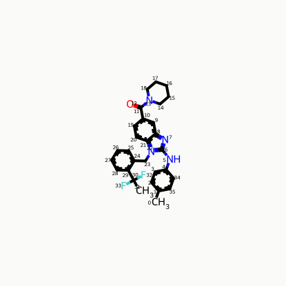 Cc1ccc(Nc2nc3cc(C(=O)N4CCCCC4)ccc3n2Cc2ccccc2C(C)(F)F)cc1